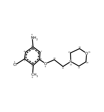 Cc1c(Cl)cc(N)cc1OCCN1CCOCC1